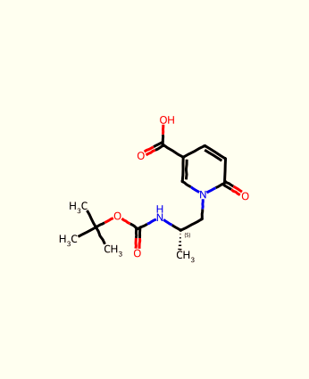 C[C@@H](Cn1cc(C(=O)O)ccc1=O)NC(=O)OC(C)(C)C